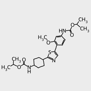 COc1cc(NC(=O)OC(C)C)ccc1-c1cnc(C2CCC(NC(=O)OC(C)C)CC2)s1